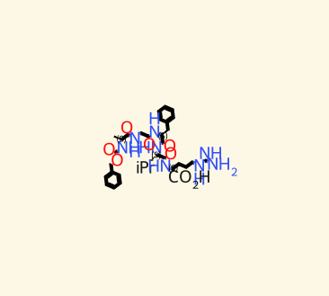 CC(C)C[C@H](NC(=O)[C@H](Cc1ccccc1)NC(=O)CNC(=O)[C@H](C)NC(=O)OCc1ccccc1)C(=O)N[C@@H](CCCNC(=N)N)C(=O)O